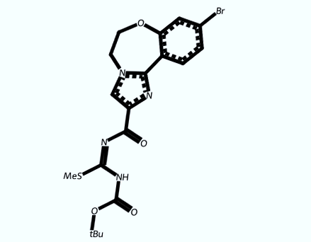 CSC(=NC(=O)c1cn2c(n1)-c1ccc(Br)cc1OCC2)NC(=O)OC(C)(C)C